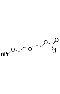 CCCOCCOCCOC(=O)Cl